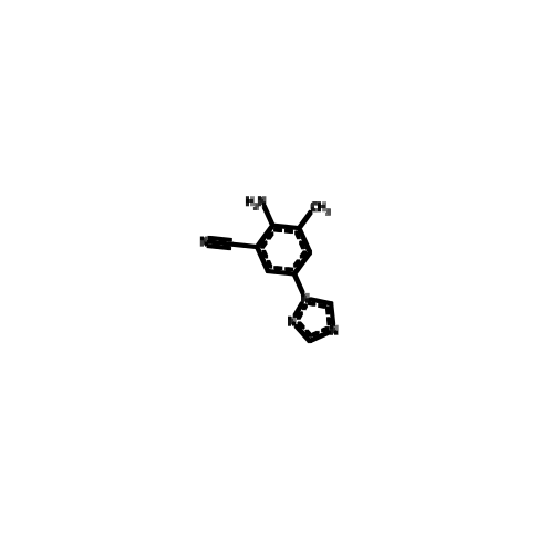 Cc1cc(-n2cncn2)cc(C#N)c1N